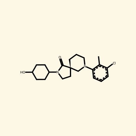 Cc1c(Cl)cccc1N1CCC[C@]2(CCN(C3CCC(O)CC3)C2=O)C1